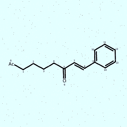 CC(=O)CCCCC(=O)C=Cc1ccccc1